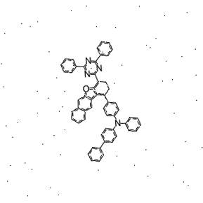 c1ccc(-c2ccc(N(c3ccccc3)c3ccc(C4=c5c(oc6cc7ccccc7cc56)=C(c5nc(-c6ccccc6)nc(-c6ccccc6)n5)CC4)cc3)cc2)cc1